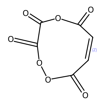 O=C1/C=C\C(=O)OC(=O)C(=O)OO1